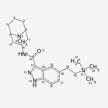 CN1C2CCCC1CC(NC(=O)c1n[nH]c3ccc(CC[Si](C)(C)C)cc13)C2